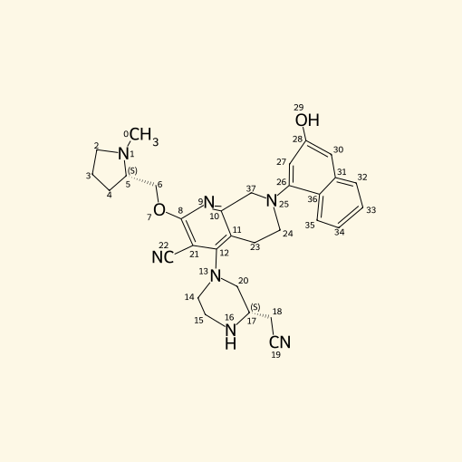 CN1CCC[C@H]1COc1nc2c(c(N3CCN[C@@H](CC#N)C3)c1C#N)CCN(c1cc(O)cc3ccccc13)C2